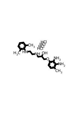 Cc1ccc(OCC(O)CNCCNc2c(C)cccc2C)c(N)c1N.Cl.Cl.Cl.Cl